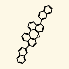 c1ccc2cc(-c3ccc4oc5ccc(-c6ccc7ccccc7c6)c6cccc(c7cccc3c47)c56)ccc2c1